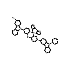 N#Cc1ccc2c(c1)c1ccccc1n2-c1ccc2c(c1)Oc1ccc(-c3ccc4c(c3)c3ccccc3n4-c3ccccc3)cc1C21c2cccnc2-c2ncccc21